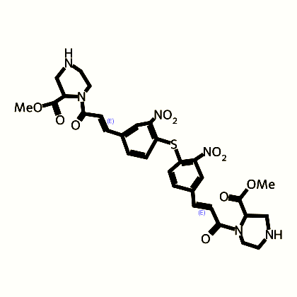 COC(=O)C1CNCCN1C(=O)/C=C/c1ccc(Sc2ccc(/C=C/C(=O)N3CCNCC3C(=O)OC)cc2[N+](=O)[O-])c([N+](=O)[O-])c1